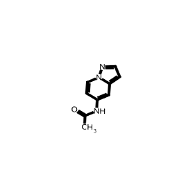 CC(=O)Nc1ccn2nccc2c1